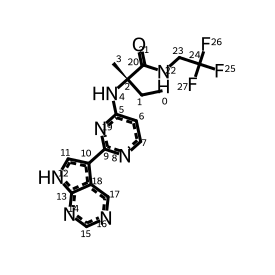 CC[C@](C)(Nc1ccnc(-c2c[nH]c3ncncc23)n1)C(=O)NCC(F)(F)F